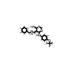 N=C1N=CN=C(Nc2ccc(OC(F)(F)F)cc2)/C1=C/NCc1ccccc1